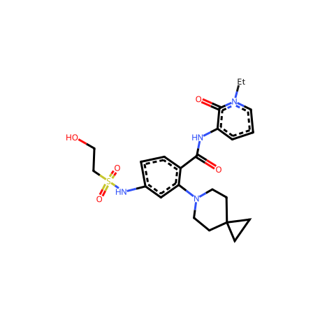 CCn1cccc(NC(=O)c2ccc(NS(=O)(=O)CCO)cc2N2CCC3(CC2)CC3)c1=O